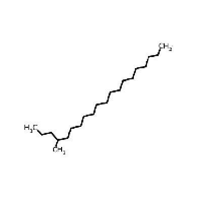 [CH2]CCCCCCCCCCCCCCCC(C)CCC